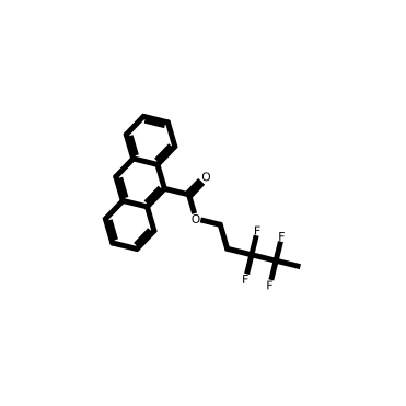 CC(F)(F)C(F)(F)CCOC(=O)c1c2ccccc2cc2ccccc12